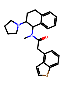 CN(C(=O)Cc1cccc2sccc12)C1c2ccccc2CCC1N1CCCC1